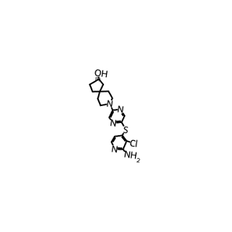 Nc1nccc(Sc2cnc(N3CCC4(CC[C@@H](O)C4)CC3)cn2)c1Cl